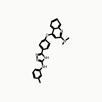 Cc1cccc(Nc2nnc(-c3ccc(Oc4cc(N(C)C)nc5ccccc45)cc3)[nH]2)c1